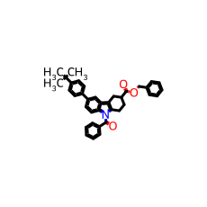 CC(C)(C)c1ccc(-c2ccc3c(c2)c2c(n3C(=O)c3ccccc3)CCC(C(=O)OCc3ccccc3)C2)cc1